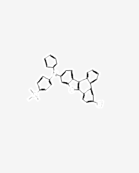 C[Si](C)(C)c1ccc(N(c2ccccc2)c2ccc3c(c2)oc2c4ccc(Cl)cc4c4ccccc4c32)cc1